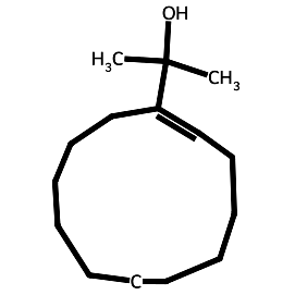 CC(C)(O)/C1=C/CCCCCCCCCC1